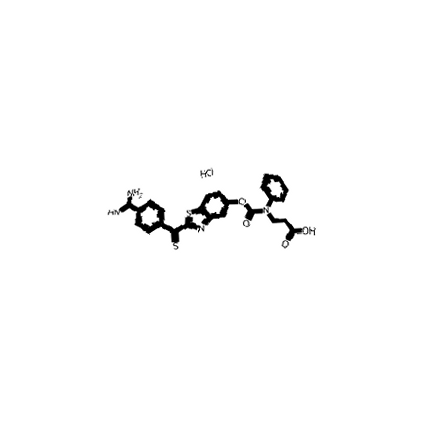 Cl.N=C(N)c1ccc(C(=S)c2nc3cc(OC(=O)N(CCC(=O)O)c4ccccc4)ccc3s2)cc1